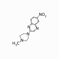 CN1CCN(c2cnc3cc([N+](=O)[O-])ccc3n2)CC1